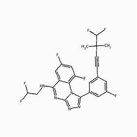 CC(C)(C#Cc1cc(F)cc(-c2nnc3nc(NCC(F)F)c4cc(F)cc(F)c4n23)c1)C(F)F